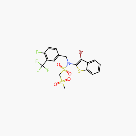 CS(=O)(=O)CS(=O)(=O)N(Cc1ccc(F)c(C(F)(F)F)c1)c1sc2ccccc2c1Br